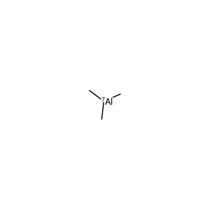 [CH3][7Al]([CH3])[CH3]